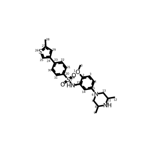 COc1ccc(N2CC(C)NC(C)C2)cc1NS(=O)(=O)c1ccc(-c2csc(C)c2)cc1